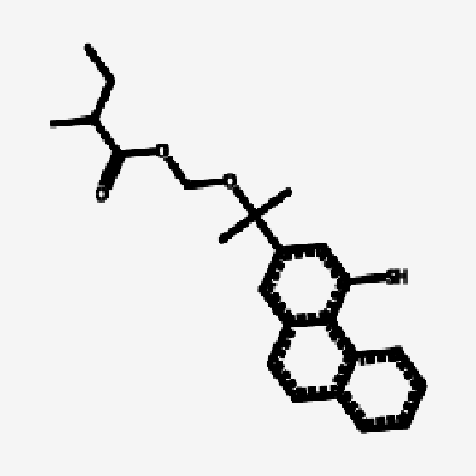 CCC(C)C(=O)OCOC(C)(C)c1cc(S)c2c(ccc3ccccc32)c1